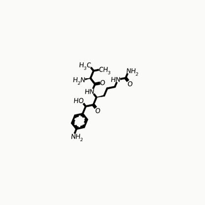 CC(C)[C@H](N)C(=O)N[C@@H](CCCNC(N)=O)C(=O)C(O)c1ccc(N)cc1